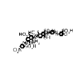 Nc1c(N=Nc2ccc3c(O)c(N=Nc4ccc(N=Nc5ccc(Cl)c(S(=O)(=O)O)c5)cc4)c(S(=O)(=O)O)cc3c2S(=O)(=O)O)cc(S(=O)(=O)O)c2ccc(N=Nc3ccc([N+](=O)[O-])cc3S(=O)(=O)O)c(O)c12